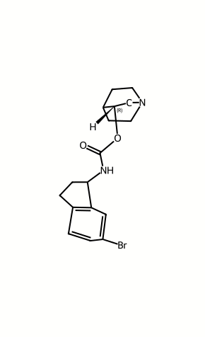 O=C(NC1CCc2ccc(Br)cc21)O[C@H]1CN2CCC1CC2